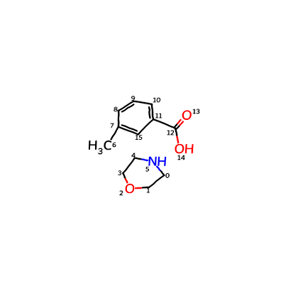 C1COCCN1.Cc1cccc(C(=O)O)c1